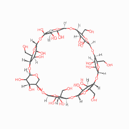 OCC1O[C@@H]2O[C@]3(O)CO[C@H](O[C@@H]4C(CO)O[C@H](O[C@]5(O)CO[C@@H](O[C@H]6C(CO)O[C@@H](O[C@H]7C(CO)O[C@H](O[C@@H]8C(CO)O[C@H](O[C@H]1[C@H](O)C2O)C(O)[C@H]8O)C(O)[C@H]7O)C(O)[C@H]6O)C(O)[C@H]5O)C(O)[C@H]4O)C(O)[C@H]3O